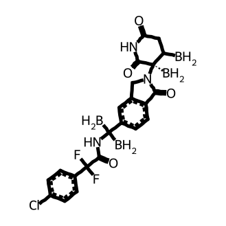 BC1CC(=O)NC(=O)[C@]1(B)N1Cc2cc(C(B)(B)NC(=O)C(F)(F)c3ccc(Cl)cc3)ccc2C1=O